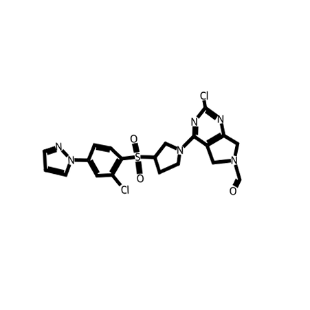 O=CN1Cc2nc(Cl)nc(N3CCC(S(=O)(=O)c4ccc(-n5cccn5)cc4Cl)C3)c2C1